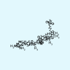 CC(C)[C@H](NC(=O)CCCCCN1C(=O)C=CC1=O)C(=O)N[C@@H](C)C(=O)Nc1ccc(C(=O)NCCC[C@@H](C)NC(=O)c2ccc(NCc3cnc4nc(N)nc(N)c4n3)cc2)c(-c2nn[nH]n2)c1